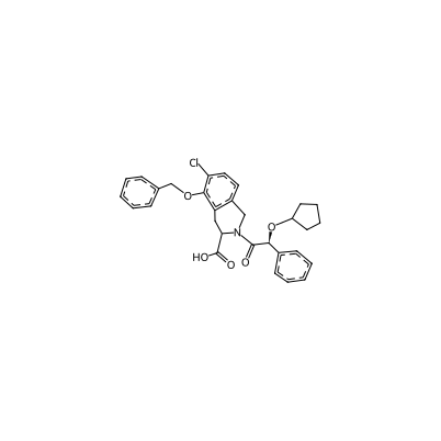 O=C(O)C1Cc2c(ccc(Cl)c2OCc2ccccc2)CN1C(=O)[C@@H](OC1CCCC1)c1ccccc1